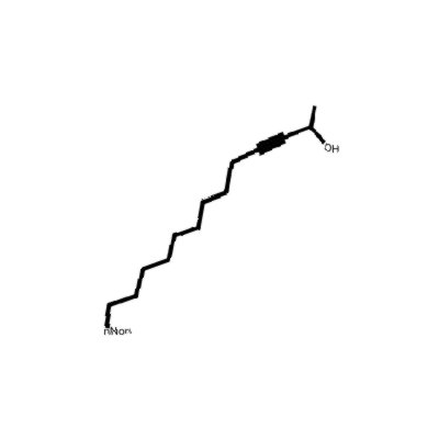 CCCCCCCCCCCCCCCCCCC#CC(C)O